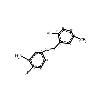 Nc1cc(OCc2cc(C(F)(F)F)ccc2F)ccc1F